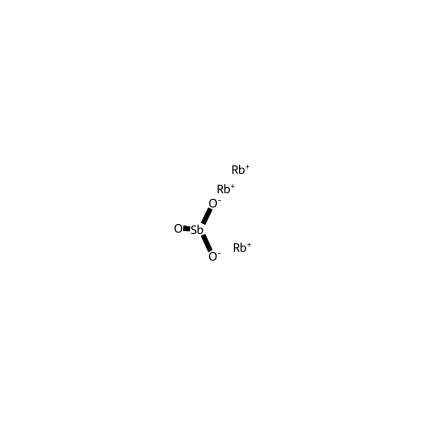 [O-][Sb]([O-])[O-].[Rb+].[Rb+].[Rb+]